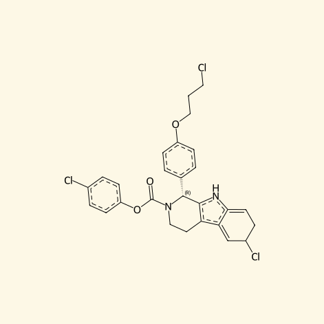 O=C(Oc1ccc(Cl)cc1)N1CCc2c([nH]c3c2=CC(Cl)CC=3)[C@H]1c1ccc(OCCCCl)cc1